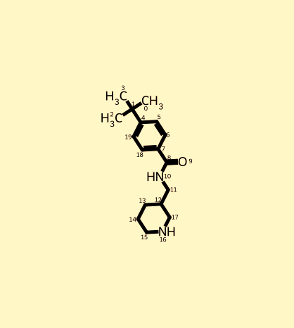 CC(C)(C)c1ccc(C(=O)NCC2CCCNC2)cc1